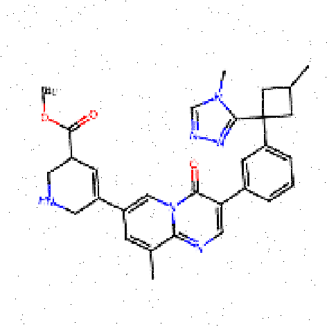 Cc1cc(C2=CC(C(=O)OC(C)(C)C)CNC2)cn2c(=O)c(-c3cccc(C4(c5nncn5C)CC(C)C4)c3)cnc12